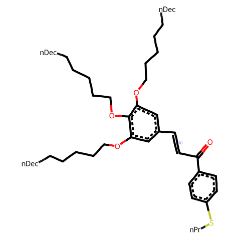 CCCCCCCCCCCCCCCOc1cc(/C=C/C(=O)c2ccc(SCCC)cc2)cc(OCCCCCCCCCCCCCCC)c1OCCCCCCCCCCCCCCC